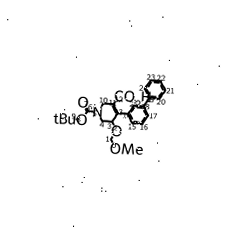 COCOC1CN(C(=O)OC(C)(C)C)CC(C(=O)O)=C1c1cccc(-c2ccccc2)c1